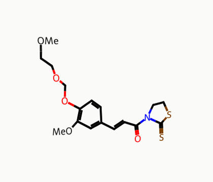 COCCOCOc1ccc(/C=C/C(=O)N2CCSC2=S)cc1OC